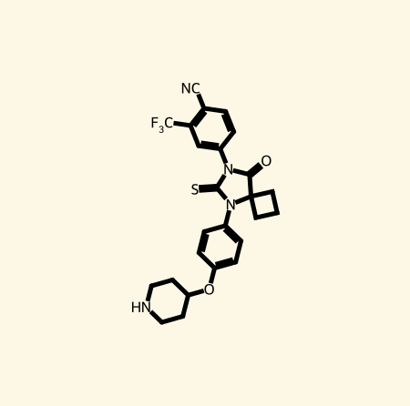 N#Cc1ccc(N2C(=O)C3(CCC3)N(c3ccc(OC4CCNCC4)cc3)C2=S)cc1C(F)(F)F